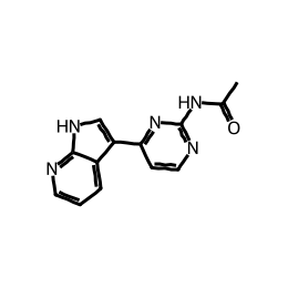 CC(=O)Nc1nccc(-c2c[nH]c3ncccc23)n1